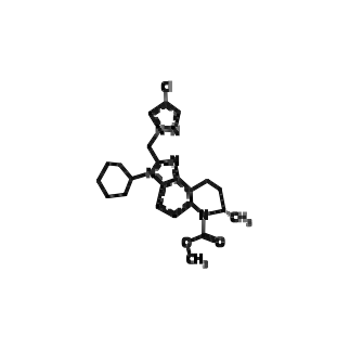 COC(=O)N1c2ccc3c(nc(Cn4cc(Cl)cn4)n3C3CCCCC3)c2CC[C@@H]1C